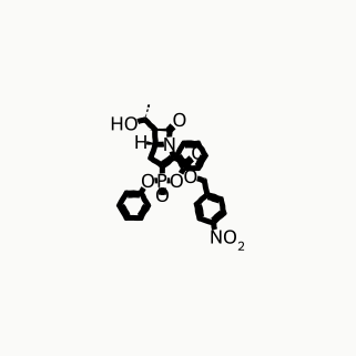 C[C@@H](O)[C@H]1C(=O)N2C(C(=O)OCc3ccc([N+](=O)[O-])cc3)=C(P(=O)(Oc3ccccc3)Oc3ccccc3)C[C@H]12